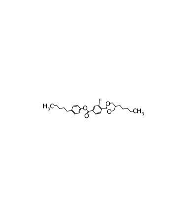 CCCCCc1ccc(OC(=O)c2ccc(C3OCC(CCCCC)CO3)c(F)c2)cc1